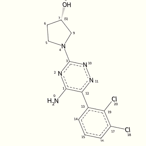 Nc1nc(N2CC[C@H](O)C2)nnc1-c1cccc(Cl)c1Cl